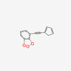 C(#Cc1cccc2c1OOO2)C1=CC=CC1